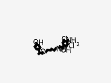 CC(COCCCCCCNCC(O)c1cc(Cl)c(N)c(Cl)c1)c1ccc(O)cc1